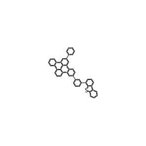 c1ccc(-c2cc3c4ccccc4c4cccc5c6cc(-c7cccc(-c8cccc9c8sc8ccccc89)c7)ccc6c(c2)c3c45)cc1